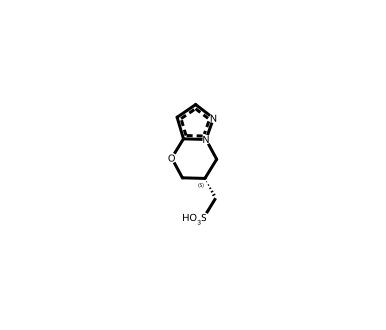 O=S(=O)(O)C[C@@H]1COc2ccnn2C1